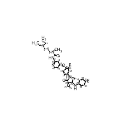 CCN(CC)CCCN(C)C(=O)Nc1cc(Oc2ccc(NC(=O)C3(C(=O)Nc4ccc(F)cc4)CC3)cc2F)ccn1